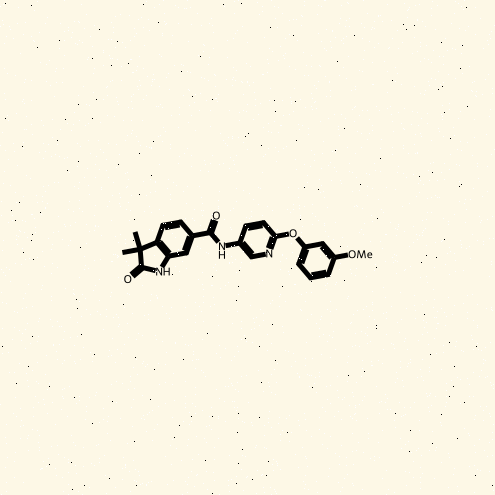 COc1cccc(Oc2ccc(NC(=O)c3ccc4c(c3)NC(=O)C4(C)C)cn2)c1